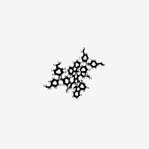 CCc1ccc(N(c2ccc(CC)cc2)c2ccc3c(C4=C5C(=O)N(C6(C)c7ccccc7-c7ccccc76)C(c6cn(C)c7cc(N(c8ccc(CC)cc8)c8ccc(CC)cc8)ccc67)=C5C(=O)N4C4(C)c5ccccc5-c5ccccc54)cn(C)c3c2)cc1